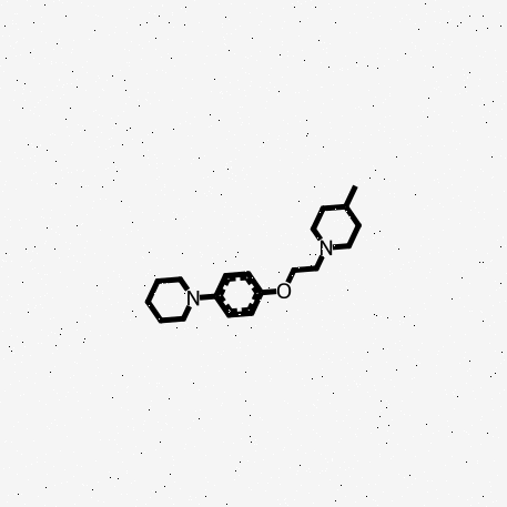 CC1CCN(CCOc2ccc(N3CCCCC3)cc2)CC1